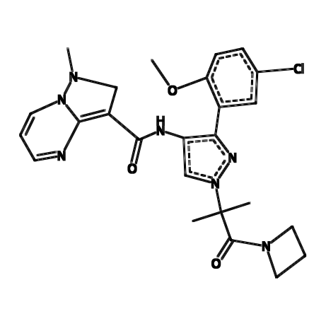 COc1ccc(Cl)cc1-c1nn(C(C)(C)C(=O)N2CCC2)cc1NC(=O)C1=C2N=CC=CN2N(C)C1